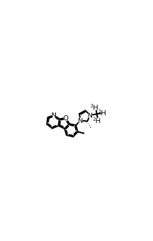 [2H]C([2H])([2H])N1C=CN(c2c(C)ccc3c2oc2ncccc23)[C@H]1C